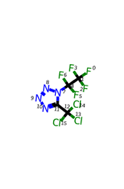 FC(F)(F)C(F)(F)n1nnnc1C(Cl)(Cl)Cl